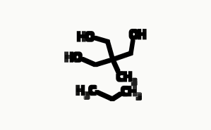 CC(CO)(CO)CO.CCC